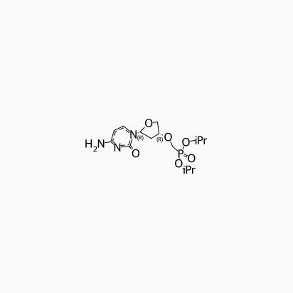 CC(C)OP(=O)(CO[C@H]1CO[C@@H](n2ccc(N)nc2=O)C1)OC(C)C